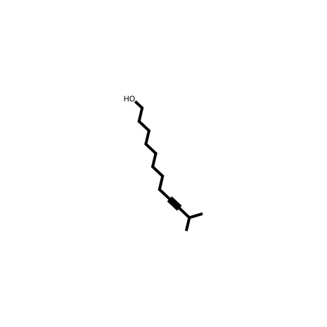 CC(C)C#CCCCCCCCCO